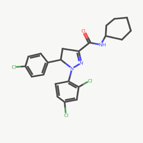 O=C(NC1CCCCC1)C1=NN(c2ccc(Cl)cc2Cl)C(c2ccc(Cl)cc2)C1